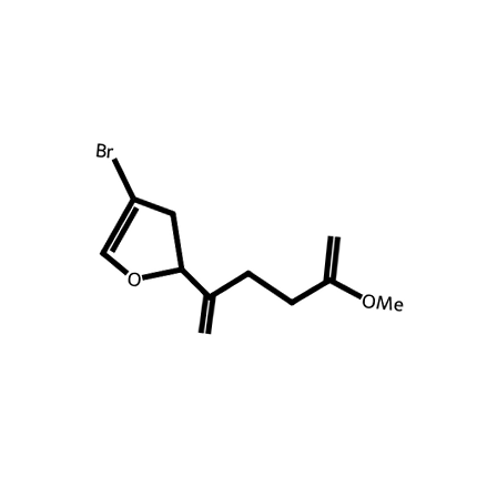 C=C(CCC(=C)C1CC(Br)=CO1)OC